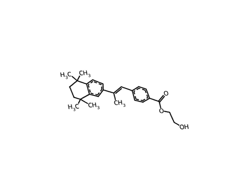 C/C(=C\c1ccc(C(=O)OCCO)cc1)c1ccc2c(c1)C(C)(C)CCC2(C)C